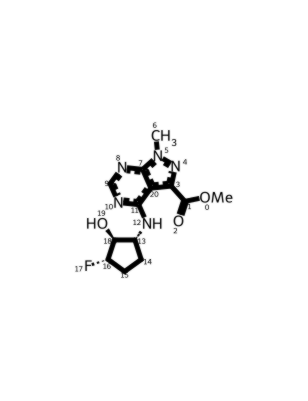 COC(=O)c1nn(C)c2ncnc(N[C@@H]3CC[C@H](F)[C@H]3O)c12